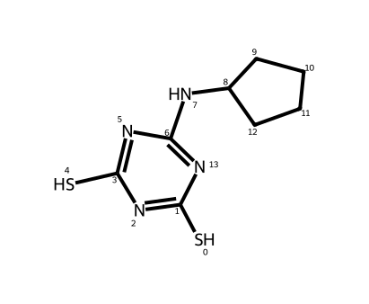 Sc1nc(S)nc(NC2CCCC2)n1